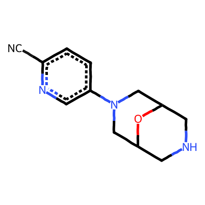 N#Cc1ccc(N2CC3CNCC(C2)O3)cn1